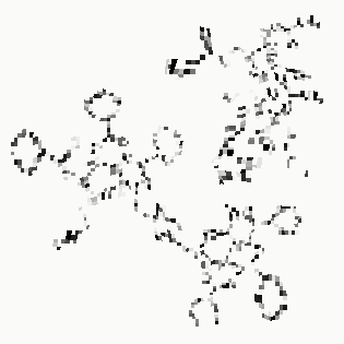 CC(=O)OC[C@H]1O[C@H](O[C@]2(CCl)O[C@H](Cn3cc(CO[C@H]4O[C@H](Cn5cc(CO[C@H]6O[C@H](CN=[N+]=[N-])[C@@H](OC(=O)c7ccccc7)[C@H](OC(=O)c7ccccc7)[C@@H]6OC(=O)c6ccccc6)nn5)[C@@H](OC(=O)c5ccccc5)[C@H](OC(=O)c5ccccc5)[C@@H]4OC(=O)c4ccccc4)nn3)[C@@H](OC(C)=O)[C@@H]2OC(C)=O)[C@H](O)[C@@H](OC(C)=O)[C@H]1Cl